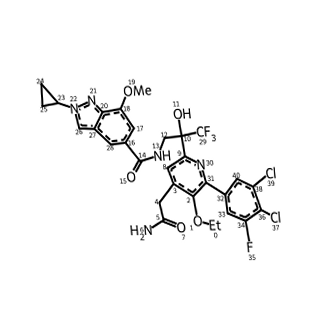 CCOc1c(CC(N)=O)cc(C(O)(CNC(=O)c2cc(OC)c3nn(C4CC4)cc3c2)C(F)(F)F)nc1-c1cc(F)c(Cl)c(Cl)c1